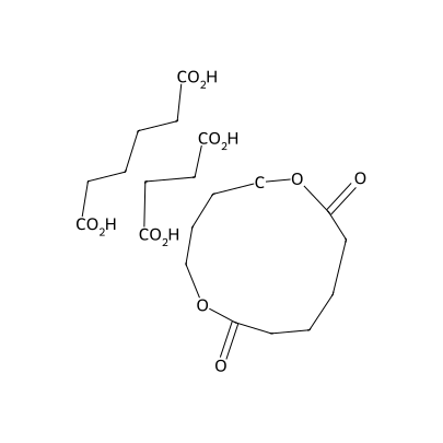 O=C(O)CCC(=O)O.O=C(O)CCCCC(=O)O.O=C1CCCCC(=O)OCCCCO1